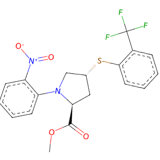 COC(=O)[C@@H]1C[C@@H](Sc2ccccc2C(F)(F)F)CN1c1ccccc1[N+](=O)[O-]